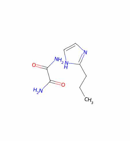 CCCc1ncc[nH]1.NC(=O)C(N)=O